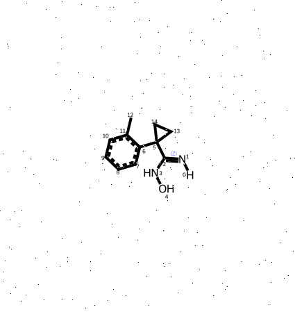 [H]/N=C(\NO)C1(c2ccccc2C)CC1